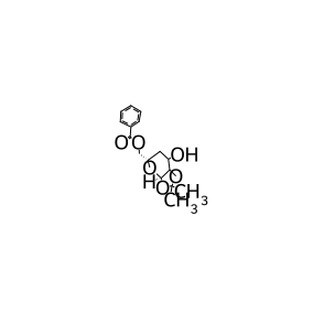 CC1(C)OC2C(O)C[C@@H](COC(=O)c3ccccc3)O[C@@H]2O1